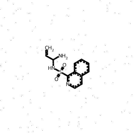 C=CC(N)NS(=O)(=O)c1nccc2ccccc12